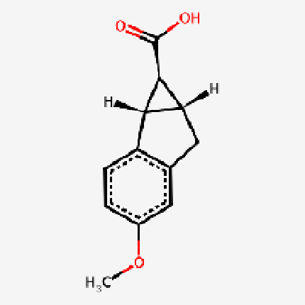 COc1ccc2c(c1)C[C@H]1[C@H](C(=O)O)[C@@H]21